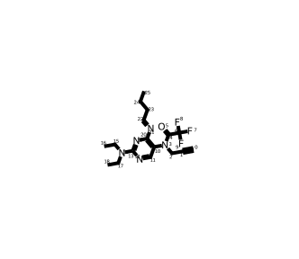 C#CCN(C(=O)C(F)(F)F)c1cnc(N(CC)CC)nc1N=CCC[CH2]